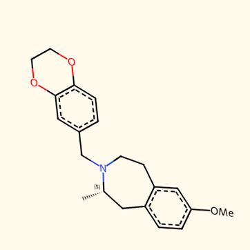 COc1ccc2c(c1)CCN(Cc1ccc3c(c1)OCCO3)[C@@H](C)C2